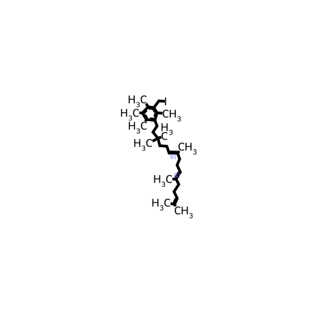 CC(C)=CCC/C(C)=C/CC/C(C)=C/CCC(C)(C)CCc1c(C)c(C)c(C)c(CI)c1C